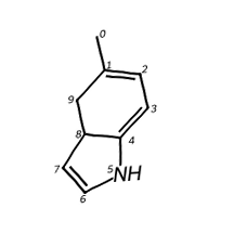 CC1=CC=C2NC=CC2C1